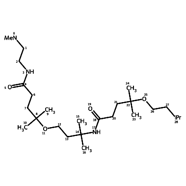 CNCCNC(=O)CCC(C)(C)OCCC(C)(C)NC(=O)CCC(C)(C)OCCC(C)C